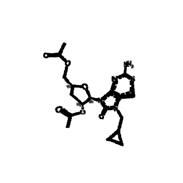 CC(=O)OC[C@@H]1C[C@@H](OC(C)=O)[C@H](n2c(=O)n(CC3CC3)c3cnc(N)nc32)O1